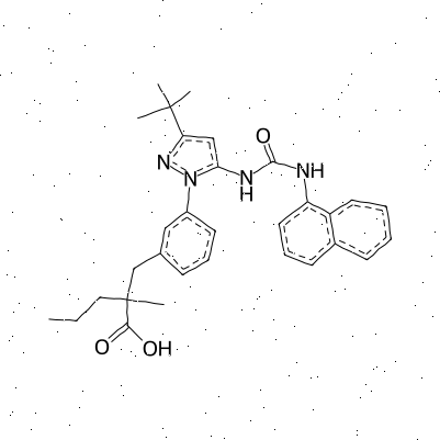 CCCC(C)(Cc1cccc(-n2nc(C(C)(C)C)cc2NC(=O)Nc2cccc3ccccc23)c1)C(=O)O